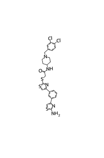 Nc1nc(-c2cccc(-c3csc(SCC(=O)NC4CCN(Cc5ccc(Cl)c(Cl)c5)CC4)n3)c2)cs1